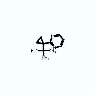 CC(C)(C)C1(c2ncccn2)CC1